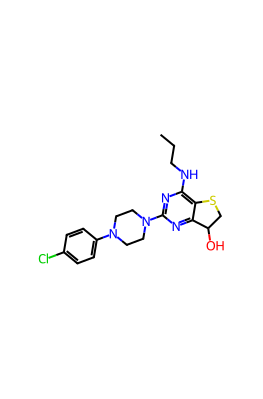 CCCNc1nc(N2CCN(c3ccc(Cl)cc3)CC2)nc2c1SCC2O